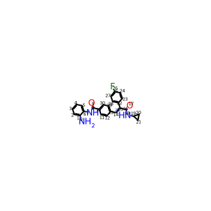 Nc1ccccc1NC(=O)c1ccc(/C=C(/C(=O)NC2CC2)c2ccc(F)cc2)cc1